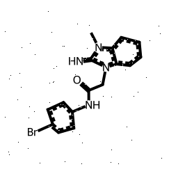 Cn1c(=N)n(CC(=O)Nc2ccc(Br)cc2)c2ccccc21